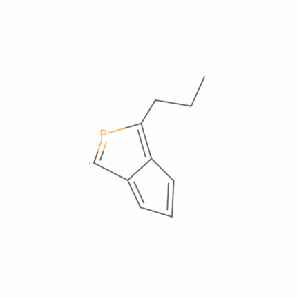 CCCC1=C2C=CC=C2[C]=P1